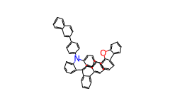 c1ccc(N(c2ccc(-c3ccc4ccccc4c3)cc2)c2ccc(-c3cccc4c3oc3ccccc34)cc2)c(-c2cc3ccccc3c3ccccc23)c1